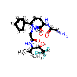 CC(C)C(NC(=O)Cn1c(-c2ccccc2)ccc(NC(=O)CN)c1=O)C(=O)C(F)(F)F